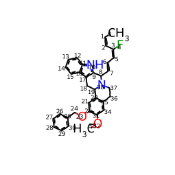 C\C=C/C(F)=C\C=C\C1c2[nH]c3ccccc3c2CC2c3cc(OCc4ccccc4)c(OC)cc3CCN12